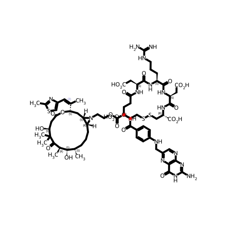 C/C(=C/c1csc(C)n1)[C@@H]1C[C@H]2[C@@H](CCC[C@H](C)[C@H](O)[C@@H](C)C(=O)C(C)(C)[C@@H](O)CC(=O)O1)N2CCOC(=O)OCCSSC[C@H](NC(=O)[C@H](CC(=O)O)NC(=O)[C@H](CCCNC(=N)N)NC(=O)[C@H](CC(=O)O)NC(=O)CC[C@H](NC(=O)c1ccc(NCc2cnc3nc(N)[nH]c(=O)c3n2)cc1)C(=O)O)C(=O)O